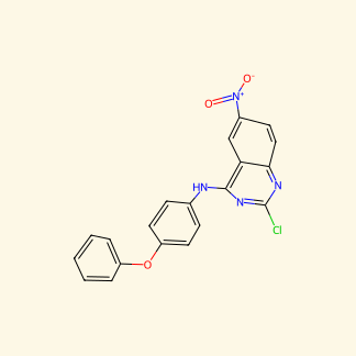 O=[N+]([O-])c1ccc2nc(Cl)nc(Nc3ccc(Oc4ccccc4)cc3)c2c1